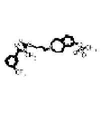 Cn1c(SCCCN2CCc3ccc(OS(C)(=O)=O)cc3CC2)nnc1-c1cccc(C(F)(F)F)c1